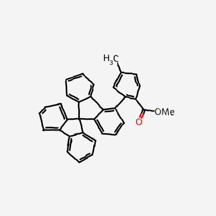 COC(=O)c1ccc(C)cc1-c1cccc2c1-c1ccccc1C21c2ccccc2-c2ccccc21